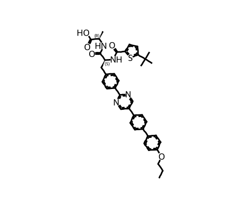 CCCOc1ccc(-c2ccc(-c3cnc(-c4ccc(C[C@H](NC(=O)c5ccc(C(C)(C)C)s5)C(=O)N[C@H](C)C(=O)O)cc4)nc3)cc2)cc1